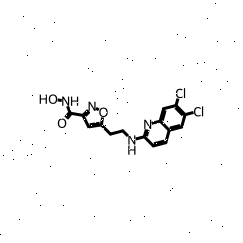 O=C(NO)c1cc(CCNc2ccc3cc(Cl)c(Cl)cc3n2)on1